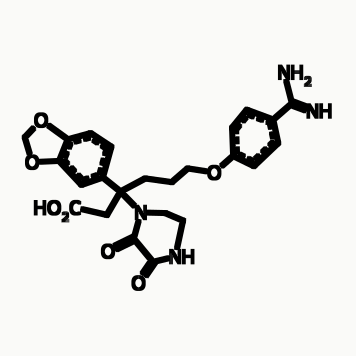 N=C(N)c1ccc(OCCCC(CC(=O)O)(c2ccc3c(c2)OCO3)N2CCNC(=O)C2=O)cc1